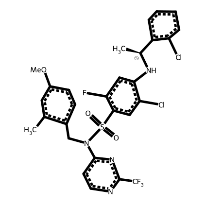 COc1ccc(CN(c2ccnc(C(F)(F)F)n2)S(=O)(=O)c2cc(Cl)c(N[C@@H](C)c3ccccc3Cl)cc2F)c(C)c1